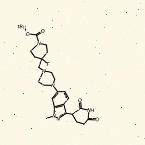 Cn1nc(C2CCC(=O)NC2=O)c2ccc(N3CCN(CC4(F)CCN(C(=O)OC(C)(C)C)CC4)CC3)cc21